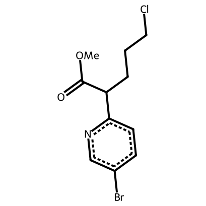 COC(=O)C(CCCCl)c1ccc(Br)cn1